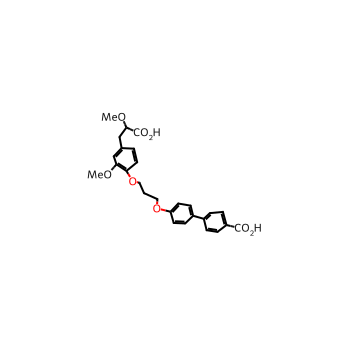 COc1cc(CC(OC)C(=O)O)ccc1OCCCOc1ccc(-c2ccc(C(=O)O)cc2)cc1